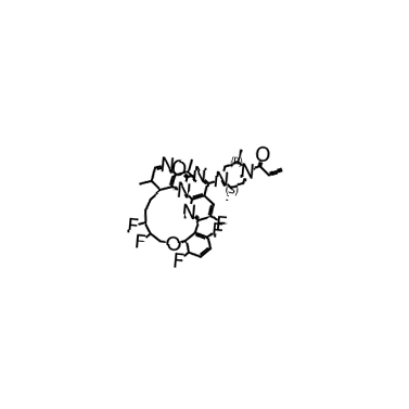 C=CC(=O)N1C[C@H](C)N(c2nc(=O)n3c4nc(c(F)cc24)C2=C(F)C=CC(F)C2OCC(F)C(F)CCC2C3=C(C(C)C)N=CC2C)C[C@H]1C